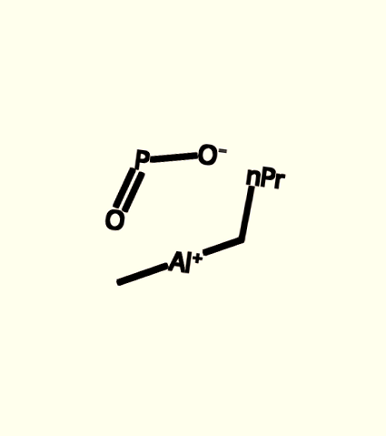 CCC[CH2][Al+][CH3].O=P[O-]